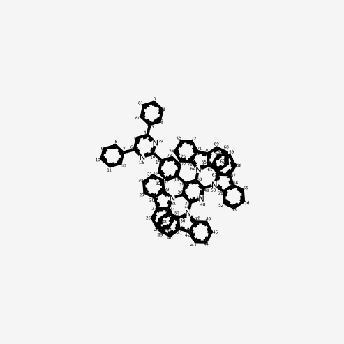 c1ccc(-c2cc(-c3ccccc3)nc(-c3ccc(-c4c(-n5c6ccccc6c6ccccc65)c(-n5c6ccccc6c6ccccc65)nc(-n5c6ccccc6c6ccccc65)c4-n4c5ccccc5c5ccccc54)cc3)n2)cc1